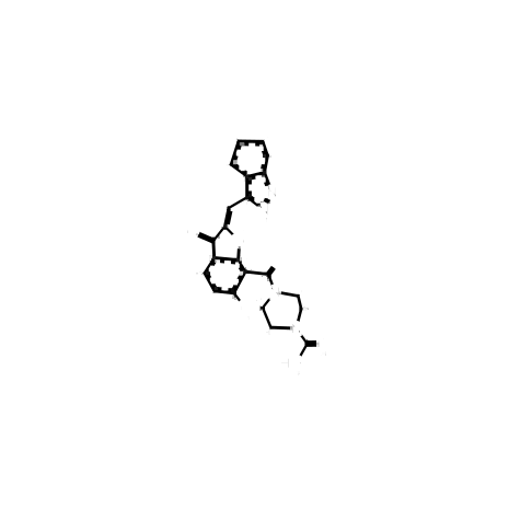 O=C1/C(=C/c2n[nH]c3ccccc23)Oc2c1ccc(O)c2C(=O)N1CCN(C(=O)O)CC1